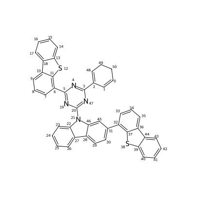 C1=CC(c2nc(-c3cccc4c3sc3ccccc34)nc(-n3c4ccccc4c4ccc(-c5cccc6c5sc5ccccc56)cc43)n2)=CCC1